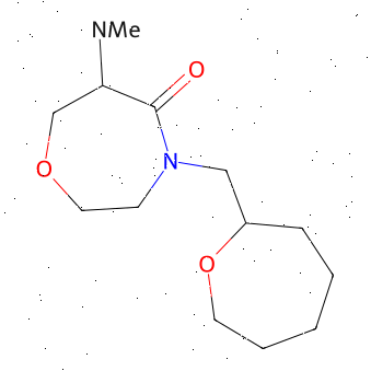 CNC1COCCN(CC2CCCCCO2)C1=O